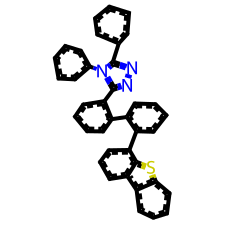 c1ccc(-c2nnc(-c3ccccc3-c3ccccc3-c3cccc4c3sc3ccccc34)n2-c2ccccc2)cc1